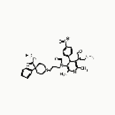 CCN(C=O)C1=C(C)NC(C)=C(N(C=O)CCCN2CCC(C(=O)OC)(c3ccccc3)CC2)C1c1ccc([N+](=O)[O-])cc1